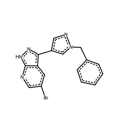 Brc1cnc2[nH]nc(-c3cnn(Cc4ccccc4)c3)c2c1